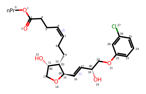 CCCOC(=O)CC/C=C\CC[C@H]1[C@@H](O)CO[C@@H]1/C=C/[C@@H](O)COc1cccc(Cl)c1